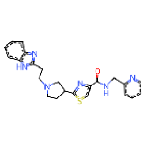 O=C(NCc1ccccn1)c1csc(C2CCN(CCc3nc4ccccc4[nH]3)C2)n1